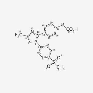 CS(=O)(=O)c1ccc(-c2cc(C(F)(F)F)nn2-c2ccc(CC(=O)O)cc2)cc1